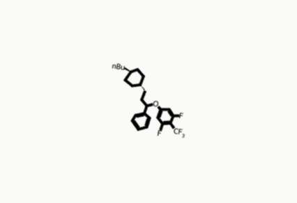 CCCC[C@H]1CC[C@H](CCC(Oc2cc(F)c(C(F)(F)F)c(F)c2)c2ccccc2)CC1